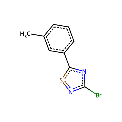 Cc1cccc(-c2nc(Br)ns2)c1